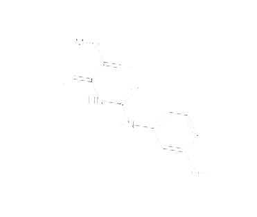 C=C(NC(=O)Nc1cccc(O)c1)C(=O)OC